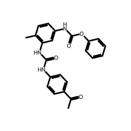 CC(=O)c1ccc(NC(=O)Nc2cc(NC(=O)Oc3ccccc3)ccc2C)cc1